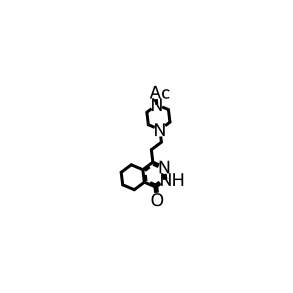 CC(=O)N1CCN(CCc2n[nH]c(=O)c3c2CCCC3)CC1